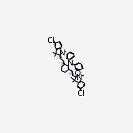 COC1(/C=C/C2=C(N(c3ccccc3)c3ccccc3)C(=C/C=C3\N(C)c4ccc(Cl)cc4C3(C)C)/CCC2)N(C)c2ccc(Cl)cc2C1(C)C